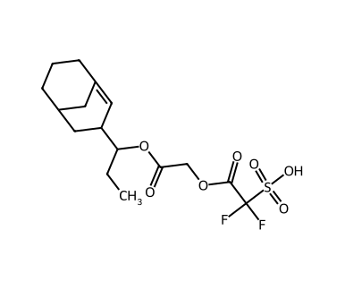 CCC(OC(=O)COC(=O)C(F)(F)S(=O)(=O)O)C1C=C2CCCC(C2)C1